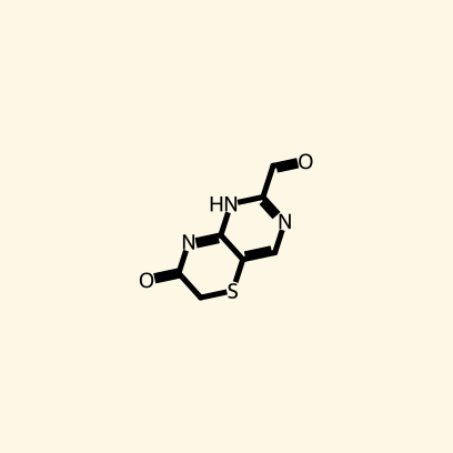 O=CC1=NC=C2SCC(=O)N=C2N1